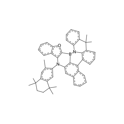 Cc1cc2c(cc1N1c3cc4ccccc4c4c3B(c3oc5ccccc5c31)N1c3ccccc3C(C)(C)c3cccc-4c31)C(C)(C)CCC2(C)C